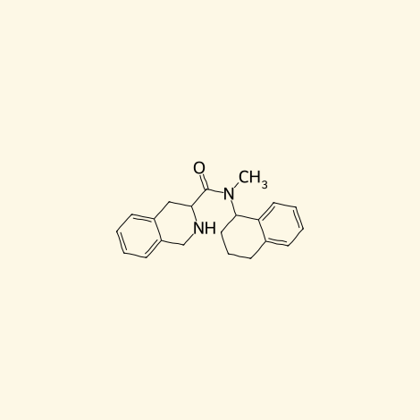 CN(C(=O)C1Cc2ccccc2CN1)C1CCCc2ccccc21